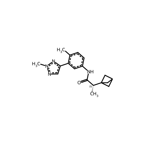 Cc1ccc(NC(=O)[C@@H](C)C23CC(C2)C3)cc1-c1cnn(C)n1